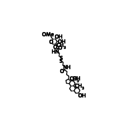 COCC1OCC(C)(OC(=O)NCCSSCCNC(=O)CCCC2CCC3C4CCC5C[C@H](O)CC[C@]5(C)C4C[C@@H](O)[C@]23C)C(O)C1O